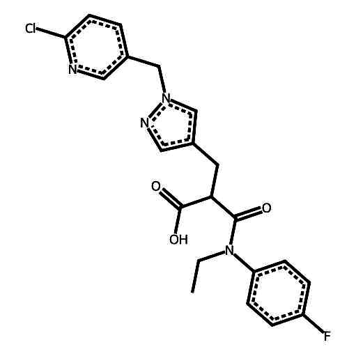 CCN(C(=O)C(Cc1cnn(Cc2ccc(Cl)nc2)c1)C(=O)O)c1ccc(F)cc1